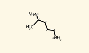 CN[C@H](C)CCCN